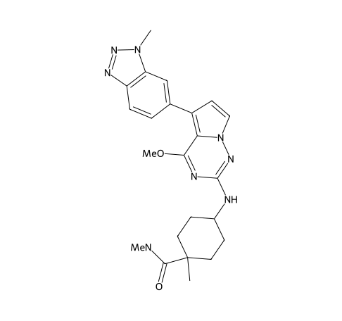 CNC(=O)C1(C)CCC(Nc2nc(OC)c3c(-c4ccc5nnn(C)c5c4)ccn3n2)CC1